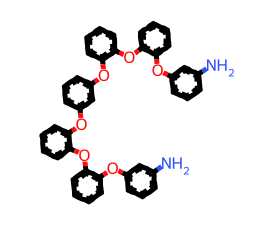 Nc1cccc(Oc2ccccc2Oc2ccccc2Oc2cccc(Oc3ccccc3Oc3ccccc3Oc3cccc(N)c3)c2)c1